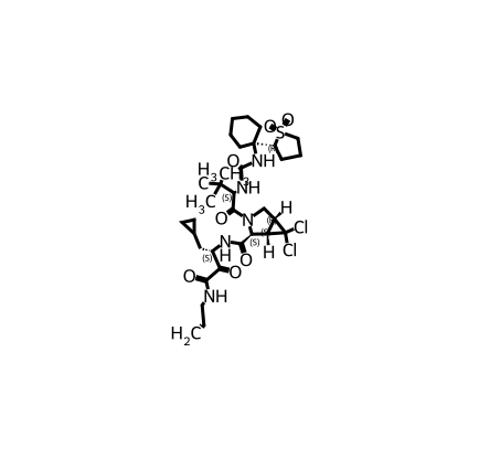 C=CCNC(=O)C(=O)[C@H](CC1CC1)NC(=O)[C@@H]1[C@@H]2[C@H](CN1C(=O)[C@@H](NC(=O)NC1([C@H]3CCCS3(=O)=O)CCCCC1)C(C)(C)C)C2(Cl)Cl